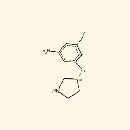 Nc1cc(F)cc(O[C@@H]2CCNC2)c1